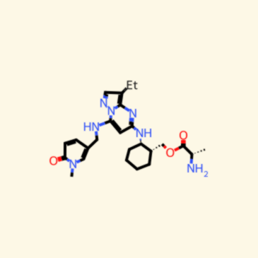 CCc1cnn2c(NCc3ccc(=O)n(C)c3)cc(N[C@H]3CCCC[C@H]3COC(=O)[C@H](C)N)nc12